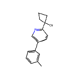 Cc1cccc(-c2ccc(C3(C#N)CCC3)nc2)c1